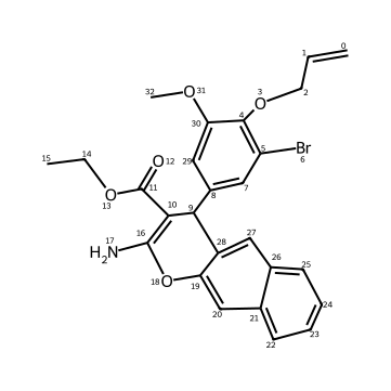 C=CCOc1c(Br)cc(C2C(C(=O)OCC)=C(N)Oc3cc4ccccc4cc32)cc1OC